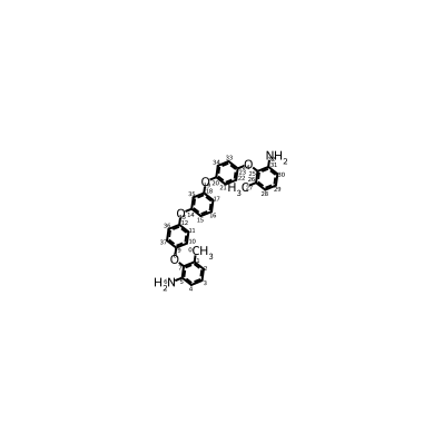 Cc1cccc(N)c1Oc1ccc(Oc2cccc(Oc3ccc(Oc4c(C)cccc4N)cc3)c2)cc1